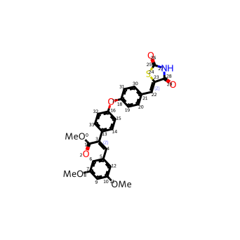 COC(=O)/C(=C\c1cc(OC)cc(OC)c1)c1ccc(Oc2ccc(/C=C3\SC(=O)NC3=O)cc2)cc1